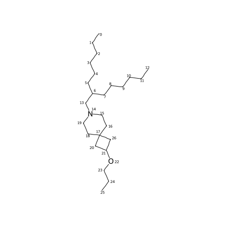 CCCCCCC(CCCCCC)CN1CCC2(CC1)CC(OCCC)C2